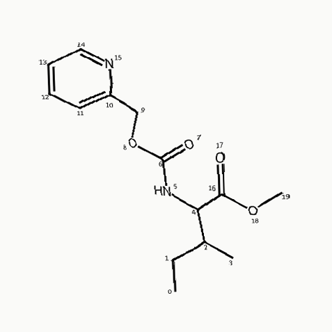 CCC(C)C(NC(=O)OCc1ccccn1)C(=O)OC